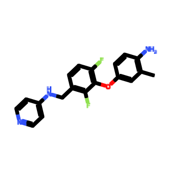 Cc1cc(Oc2c(F)ccc(CNc3ccncc3)c2F)ccc1N